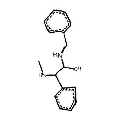 CNC(c1ccccc1)C(O)NCc1ccccc1